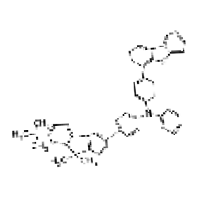 CC(C)(C)c1ccc2c(c1)C(C)(C)c1ccc(-c3ccc(N(c4ccccc4)c4ccc(-c5cccc6c5sc5ccccc56)cc4)cc3)cc1-2